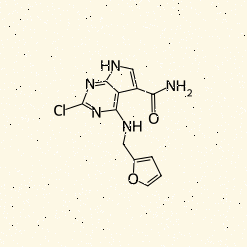 NC(=O)c1c[nH]c2nc(Cl)nc(NCc3ccco3)c12